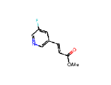 COC(=O)/C=C/c1cncc(F)c1